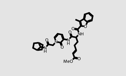 COC(=O)/C=C/CCC(NC(=O)c1oc2ccccc2c1C)C(=O)Nc1cccn(CC(=O)NC2C3CCC2CC3)c1=O